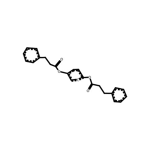 O=C(CCc1ccccc1)Oc1ccc(OC(=O)CCc2ccccc2)cc1